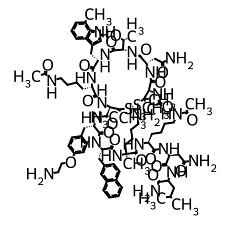 CC(=O)NCCCC[C@@H]1NC(=O)[C@H](Cc2c[nH]c3c(C)cccc23)NC(=O)[C@H]([C@@H](C)O)NC(=O)[C@H](CC(N)=O)NC(=O)[C@@H](NC(C)=O)C(C)(C)SSC(C)(C)[C@@H](C(=O)N[C@@H](Cc2ccc(OCCN)cc2)C(=O)N[C@@H](Cc2ccc3ccccc3c2)C(=O)N[C@@](C)(CCCCN)C(=O)N[C@@H](CCCCNC(C)=O)C(=O)N[C@@H](CC(N)=O)C(=O)NC(CC(C)C)C(N)=O)NC1=O